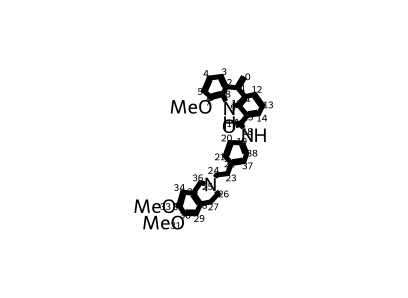 C=C1c2cccc(OC)c2Nc2c1cccc2C(=O)Nc1ccc(CCN2CCc3cc(OC)c(OC)cc3C2)cc1